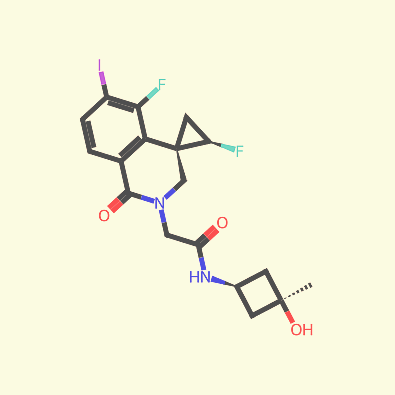 C[C@]1(O)C[C@@H](NC(=O)CN2C[C@]3(C[C@H]3F)c3c(ccc(I)c3F)C2=O)C1